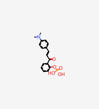 CN(C)c1ccc(C=CC(=O)c2ccccc2OP(=O)(O)O)cc1